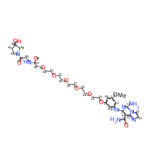 COc1cc(Nc2nc(N)n3ccnc3c2C(N)=O)cc(OCCOCCOCCOCCOCCOCC(=O)NCC(=O)N2CC[C@@H](O)C2)c1